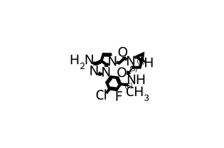 C[C@H](NC(=O)[C@@H]1C[C@H]2CC2N1C(=O)Cn1ccc2c(N)ncnc21)c1cccc(Cl)c1F